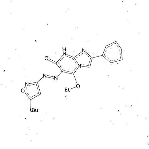 CCOc1c(/N=N/c2cc(C(C)(C)C)on2)c(=O)[nH]c2nc(-c3ccccc3)cn12